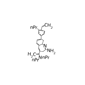 C=Cc1ccc(C2=CC=C3C=C(C(=C)N(CCC)CCC)CC(N)=NC3C2)cc1CCC